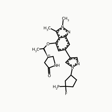 Cc1c2c(OC(C)[C@H]3CNC(=O)C3)cc(-c3cnn(C4CCC(F)(P)C4)c3)cc2nn1C